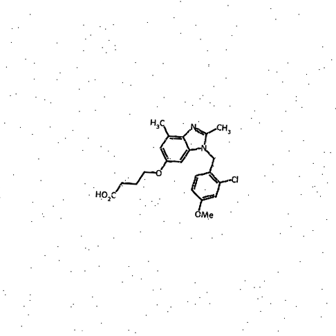 COc1ccc(Cn2c(C)nc3c(C)cc(OCCCC(=O)O)cc32)c(Cl)c1